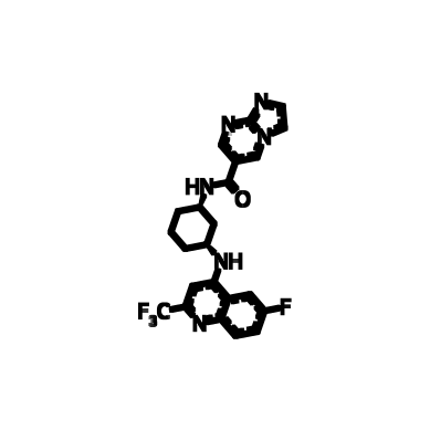 O=C(N[C@@H]1CCC[C@H](Nc2cc(C(F)(F)F)nc3ccc(F)cc23)C1)c1cnc2nccn2c1